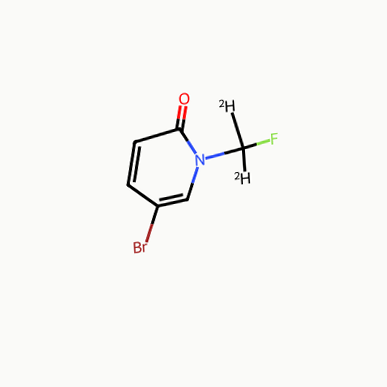 [2H]C([2H])(F)n1cc(Br)ccc1=O